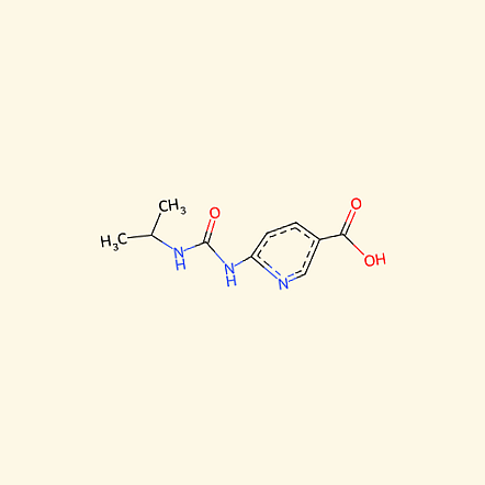 CC(C)NC(=O)Nc1ccc(C(=O)O)cn1